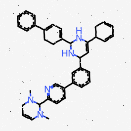 CN1C=CCN(C)C1c1ccc(-c2cccc(C3C=C(C4C=CC=CC4)NC(C4=CC=C(c5ccccc5)CC4)N3)c2)cn1